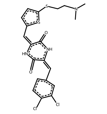 CN(C)CCSc1ccc(C=c2[nH]c(=O)c(=Cc3ccc(Cl)c(Cl)c3)[nH]c2=O)s1